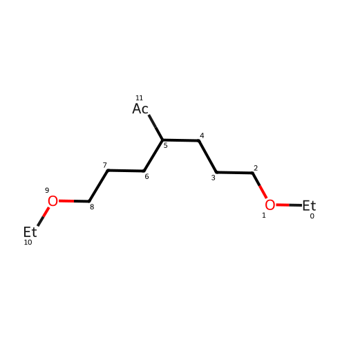 CCOCCCC(CCCOCC)C(C)=O